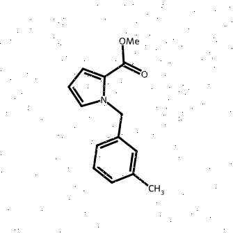 COC(=O)c1cccn1Cc1cccc(C)c1